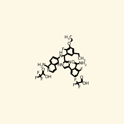 CCOc1cc(CC)cc(C(Nc2ccc3c(N)nccc3c2)c2nc(-c3cccc(F)c3C(N)=O)c[nH]2)c1F.O=C(O)C(F)(F)F.O=C(O)C(F)(F)F